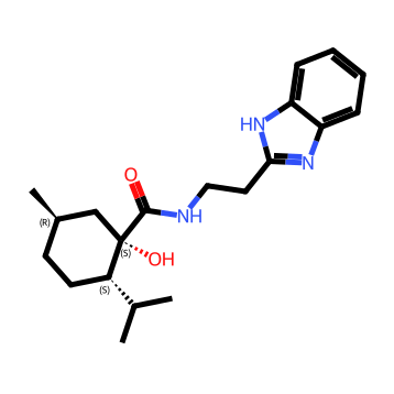 CC(C)[C@@H]1CC[C@@H](C)C[C@@]1(O)C(=O)NCCc1nc2ccccc2[nH]1